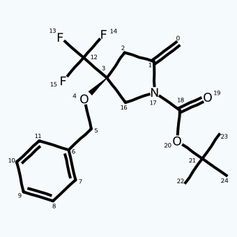 C=C1C[C@@](OCc2ccccc2)(C(F)(F)F)CN1C(=O)OC(C)(C)C